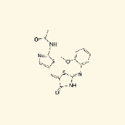 COc1ccccc1N=C1NC(=O)C(=Cc2cnc(NC(C)=O)s2)S1